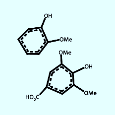 COc1cc(C(=O)O)cc(OC)c1O.COc1ccccc1O